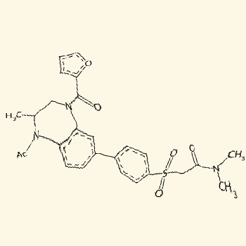 CC(=O)N1c2ccc(-c3ccc(S(=O)(=O)CC(=O)N(C)C)cc3)cc2N(C(=O)c2ccco2)CC1C